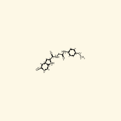 COc1ccc(NC(=O)CNC(=O)c2cc3cc(Cl)ncc3[nH]2)cc1